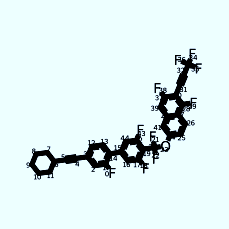 Fc1cc(C#CC2CCCCC2)ccc1-c1cc(F)c(C(F)(F)Oc2ccc3c(F)c(C#CC(F)(F)F)c(F)cc3c2)c(F)c1